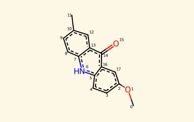 COc1ccc2[nH]c3ccc(C)cc3c(=O)c2c1